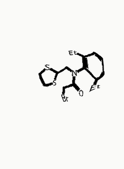 CCc1cccc(CC)c1N(CC1SCCS1)C(=O)CBr